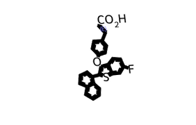 O=C(O)/C=C/c1ccc(Oc2c(-c3cccc4ccccc34)sc3cc(F)ccc23)cc1